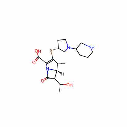 C[C@@H](O)[C@H]1C(=O)N2C(C(=O)O)=C(S[C@@H]3CCN(C4CCCNC4)C3)[C@H](C)[C@H]12